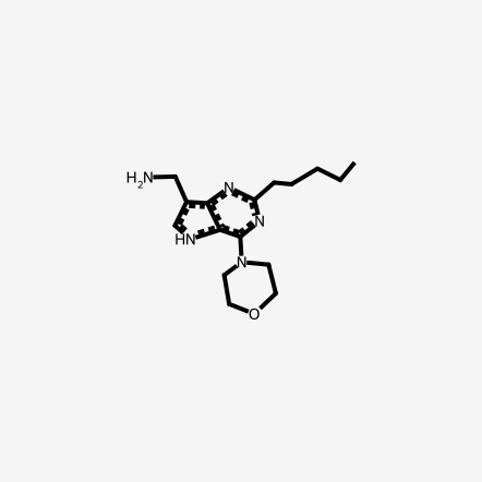 CCCCCc1nc(N2CCOCC2)c2[nH]cc(CN)c2n1